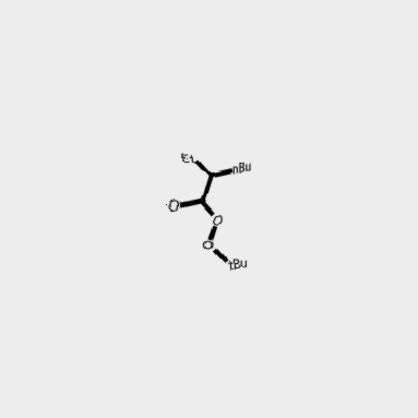 CCCCC(CC)C([O])OOC(C)(C)C